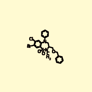 CN1C(COCc2ccccc2)CN(c2ccccc2)c2cc(Cl)c(Br)cc2S1(=O)=O